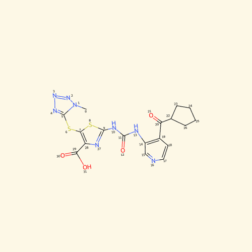 Cn1nnnc1Sc1sc(NC(=O)Nc2cnccc2C(=O)C2CCCC2)nc1C(=O)O